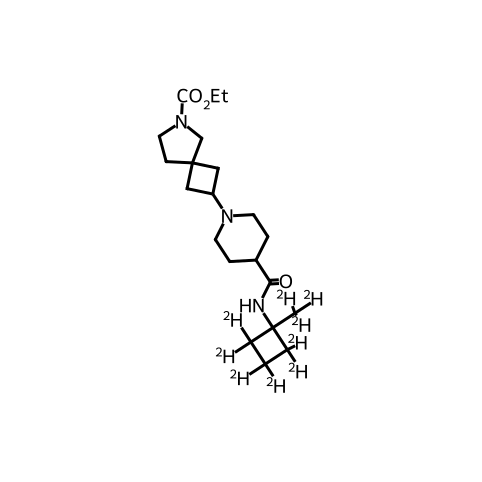 [2H]C([2H])([2H])C1(NC(=O)C2CCN(C3CC4(CCN(C(=O)OCC)C4)C3)CC2)C([2H])([2H])C([2H])([2H])C1([2H])[2H]